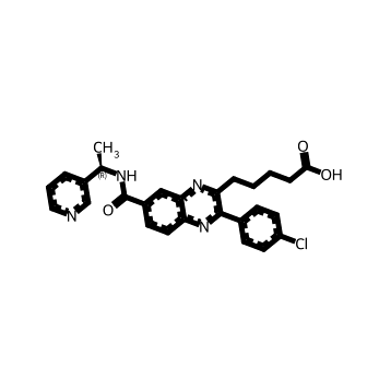 C[C@@H](NC(=O)c1ccc2nc(-c3ccc(Cl)cc3)c(CCCCC(=O)O)nc2c1)c1cccnc1